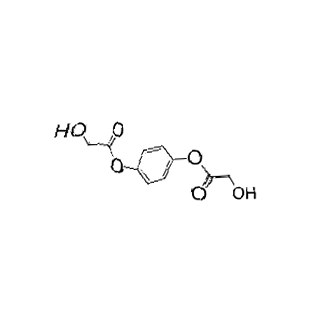 O=C(CO)Oc1ccc(OC(=O)CO)cc1